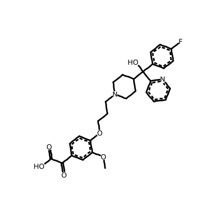 COc1cc(C(=O)C(=O)O)ccc1OCCCN1CCC(C(O)(c2ccc(F)cc2)c2ccccn2)CC1